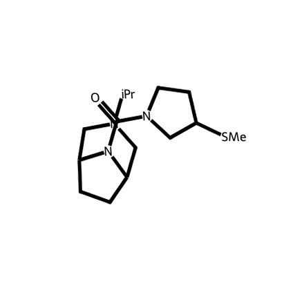 CSC1CCN(C(=O)N2C3CCC2CN(C(C)C)C3)C1